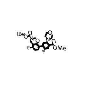 COC(=O)c1cc(F)c(-c2ccc(F)c3c2OCN(C(=O)OC(C)(C)C)C3)cc1N1CCOCC1